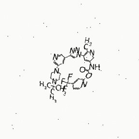 Cc1ncc(NC(=O)Oc2cc(C(F)(F)F)ccn2)cc1-n1cc(-c2cncc(N3CCN(C(C)(C)C)CC3)c2)nn1